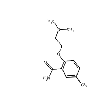 CN(C)CCOc1ccc(C(F)(F)F)cc1C(N)=O